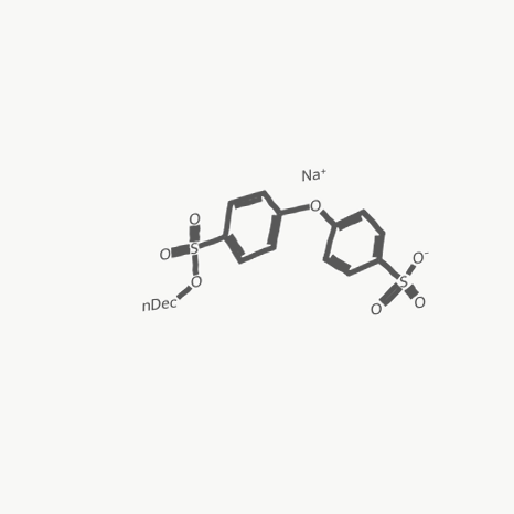 CCCCCCCCCCOS(=O)(=O)c1ccc(Oc2ccc(S(=O)(=O)[O-])cc2)cc1.[Na+]